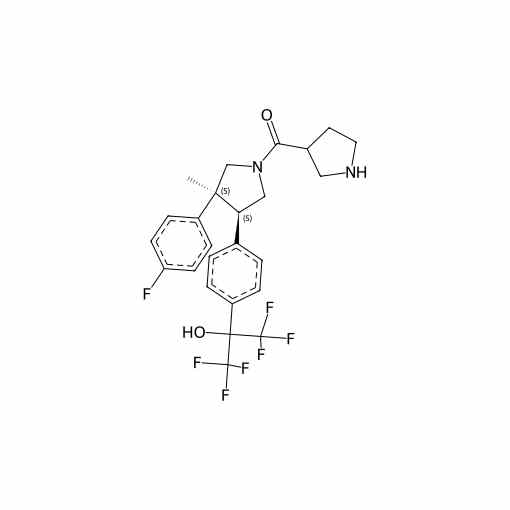 C[C@]1(c2ccc(F)cc2)CN(C(=O)C2CCNC2)C[C@H]1c1ccc(C(O)(C(F)(F)F)C(F)(F)F)cc1